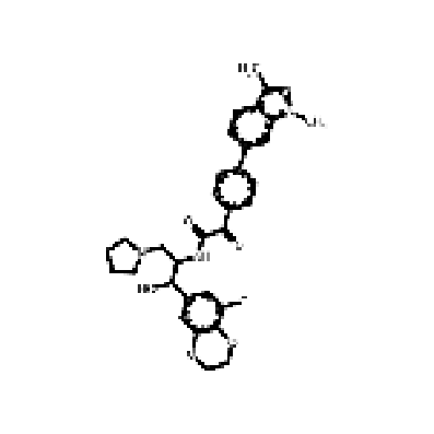 Cc1nn(C)c2cc(-c3ccc(C(=O)C(=O)NC(CN4CCCC4)C(O)c4cc(F)c5c(c4)OCCO5)cc3)ccc12